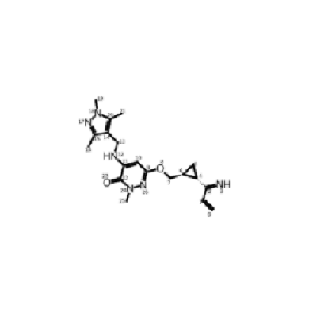 C=CC(=N)[C@H]1C[C@@H]1COc1cc(NCc2c(C)nn(C)c2C)c(=O)n(C)n1